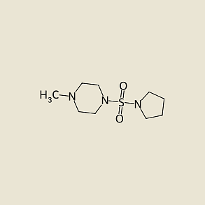 CN1CCN(S(=O)(=O)N2CCCC2)CC1